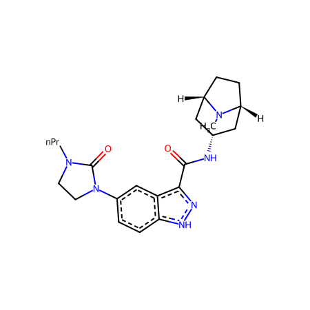 CCCN1CCN(c2ccc3[nH]nc(C(=O)N[C@H]4C[C@H]5CC[C@@H](C4)N5C)c3c2)C1=O